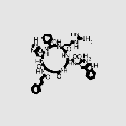 N=C(N)NCCC[C@@H]1NC(=O)C(c2ccccc2)NC(=O)[C@H](Cc2c[nH]cn2)NC(=O)[C@@H](NC(=O)CCc2ccccc2)CCC(=O)NCC[C@@H](C(=O)N[C@@H](Cc2c[nH]c3ccccc23)C(N)=O)NC1=O